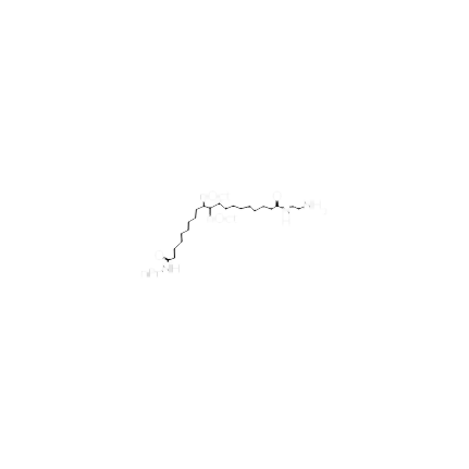 CCCCCCCCC(CCCCCCCCC(=O)NCCC)C(CCCCCCCC)CCCCCCCCC(=O)NCCN